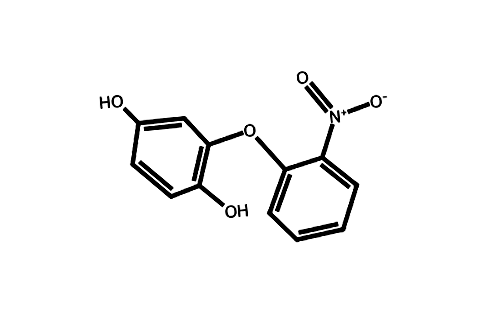 O=[N+]([O-])c1ccccc1Oc1cc(O)ccc1O